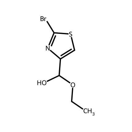 CCOC(O)c1csc(Br)n1